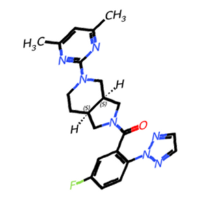 Cc1cc(C)nc(N2CC[C@@H]3CN(C(=O)c4cc(F)ccc4-n4nccn4)C[C@@H]3C2)n1